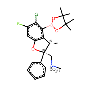 C[C@H]1c2c(cc(F)c(Cl)c2B2OC(C)(C)C(C)(C)O2)O[C@]1(CN(C)C(=O)O)c1ccccc1